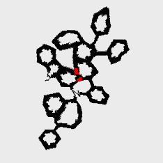 c1ccc(-c2ccc(N(c3ccc4c(c3)sc3ccccc34)c3ccccc3-c3ccc4c(c3)c(-c3ccccc3)c(-c3ccccc3)c3ccccc34)c3ccccc23)cc1